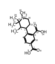 CC1C(c2ccc(C(=O)O)cc2C(=O)O)CCN(C)C1(C)C